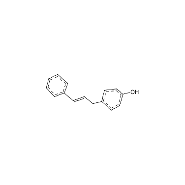 Oc1ccc(CC=Cc2ccccc2)cc1